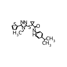 CCn1c(SC2(C(=O)Nc3ccc(C(C)C)cc3)CC2)nnc1-c1cccs1